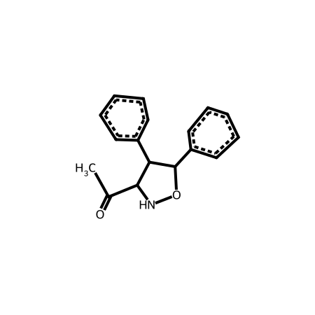 CC(=O)C1NOC(c2ccccc2)C1c1ccccc1